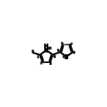 Cc1ccc(-c2cccs2)[nH]1